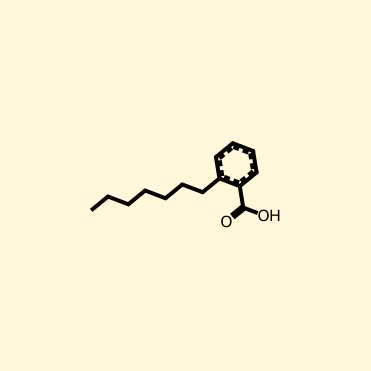 CCCCCCCc1ccccc1C(=O)O